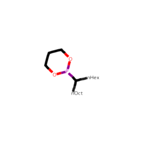 CCCCCCCCC(CCCCCC)P1OCCCO1